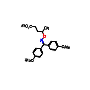 CCOC(=O)CCC(C#N)ON=C(c1ccc(OC)cc1)c1ccc(OC)cc1